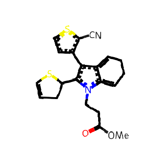 COC(=O)CCn1c(C2CC=CS2)c(-c2ccsc2C#N)c2c1=CCCC=2